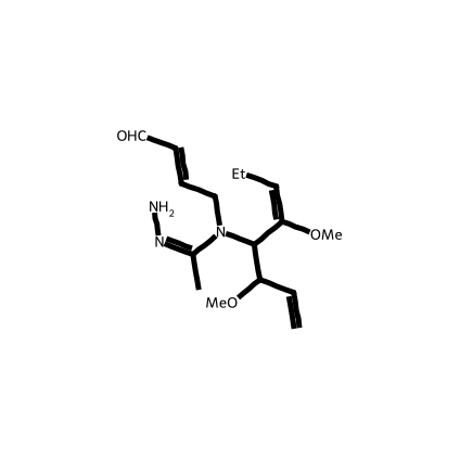 C=CC(OC)C(/C(=C\CC)OC)N(C/C=C/C=O)/C(C)=N\N